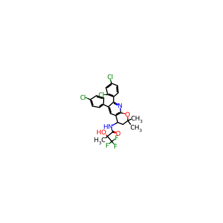 CC1(C)CC(NC(=O)C(C)(O)C(F)(F)F)c2cc(-c3ccc(Cl)cc3)c(-c3ccc(Cl)cc3Cl)nc2O1